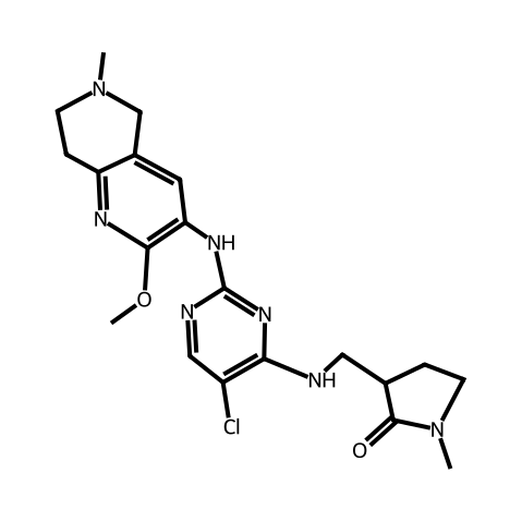 COc1nc2c(cc1Nc1ncc(Cl)c(NCC3CCN(C)C3=O)n1)CN(C)CC2